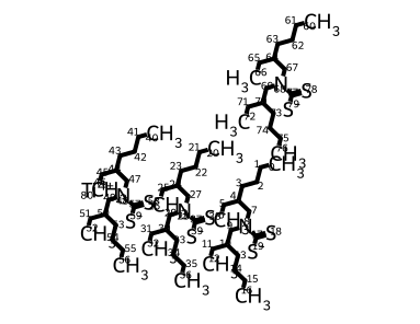 CCCCC(CC)CN(CC(CC)CCCC)C(=S)[S-].CCCCC(CC)CN(CC(CC)CCCC)C(=S)[S-].CCCCC(CC)CN(CC(CC)CCCC)C(=S)[S-].CCCCC(CC)CN(CC(CC)CCCC)C(=S)[S-].[Ti+4]